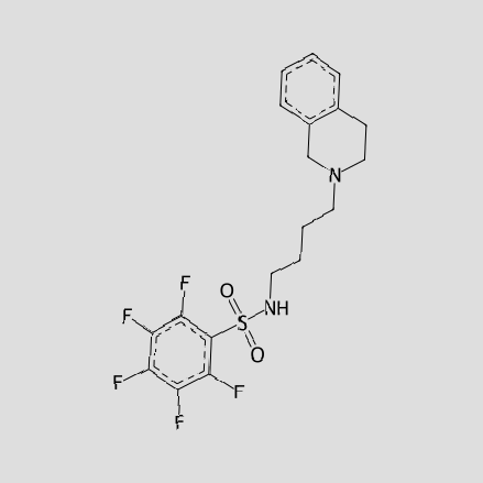 O=S(=O)(NCCCCN1CCc2ccccc2C1)c1c(F)c(F)c(F)c(F)c1F